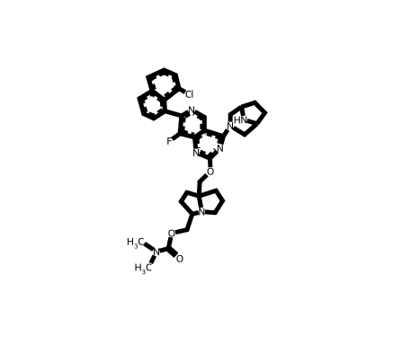 CN(C)C(=O)OCC1CCC2(COc3nc(N4CC5CCC(C4)N5)c4cnc(-c5cccc6cccc(Cl)c56)c(F)c4n3)CCCN12